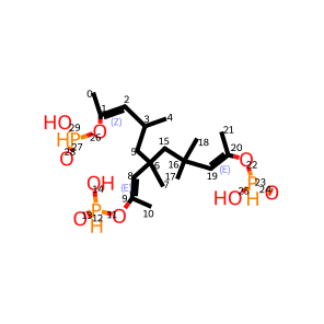 C/C(=C/C(C)CC(C)(/C=C(\C)O[PH](=O)O)CC(C)(C)/C=C(\C)O[PH](=O)O)O[PH](=O)O